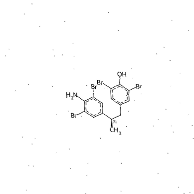 C[C@H](Cc1cc(Br)c(O)c(Br)c1)c1cc(Br)c(N)c(Br)c1